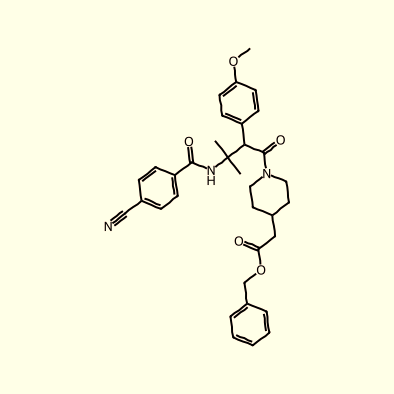 COc1ccc(C(C(=O)N2CCC(CC(=O)OCc3ccccc3)CC2)C(C)(C)NC(=O)c2ccc(C#N)cc2)cc1